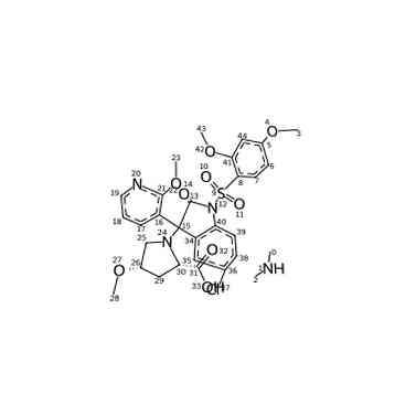 CNC.COc1ccc(S(=O)(=O)N2C(=O)C(c3cccnc3OC)(N3C[C@@H](OC)C[C@H]3C(=O)O)c3cc(Cl)ccc32)c(OC)c1